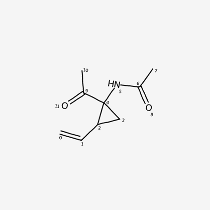 C=CC1CC1(NC(C)=O)C(C)=O